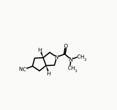 CN(C)C(=O)N1C[C@H]2CC(C#N)C[C@H]2C1